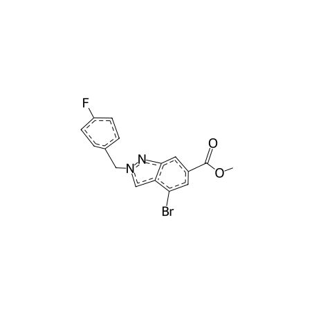 COC(=O)c1cc(Br)c2cn(Cc3ccc(F)cc3)nc2c1